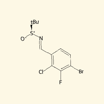 CC(C)(C)[S@+]([O-])/N=C/c1ccc(Br)c(F)c1Cl